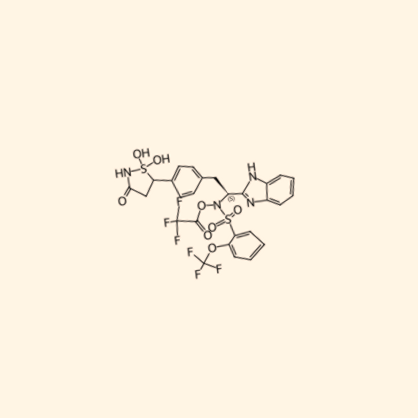 O=C1CC(c2ccc(C[C@@H](c3nc4ccccc4[nH]3)N(OC(=O)C(F)(F)F)S(=O)(=O)c3ccccc3OC(F)(F)F)cc2)S(O)(O)N1